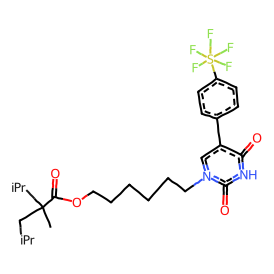 CC(C)CC(C)(C(=O)OCCCCCCn1cc(-c2ccc(S(F)(F)(F)(F)F)cc2)c(=O)[nH]c1=O)C(C)C